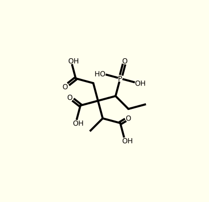 CCC(C(CC(=O)O)(C(=O)O)C(C)C(=O)O)P(=O)(O)O